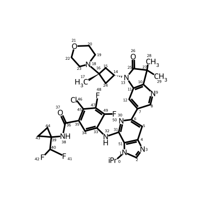 CC(C)n1cnc2cc(-c3cnc4c(c3)N([C@H]3C[C@@](C)(N5CCOCC5)C3)C(=O)C4(C)C)nc(Nc3cc(C(=O)NC4(C(F)F)CC4)c(Cl)c(F)c3F)c21